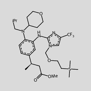 COC(=O)C[C@@H](C)c1ccc(N(CC(C)C)C2CCOCC2)c(Nc2nc(C(F)(F)F)cn2COCCS(C)(C)C)c1